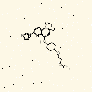 COCCO[C@H]1CC[C@H](Nc2cc(=O)n(C)c3ccc(-n4ccnc4)nc23)CC1